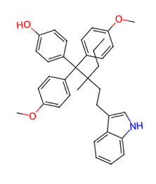 CCCC(C)(CCc1c[nH]c2ccccc12)C(c1ccc(O)cc1)(c1ccc(OC)cc1)c1ccc(OC)cc1